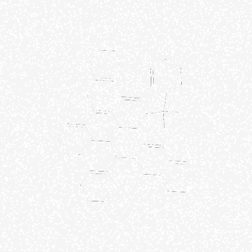 CC1(C)c2ccccc2-c2cc3c(Nc4ccccc4)c4ccccc4c(N(/C(C=N)=C/c4ccccc4)c4ccccc4)c3cc21